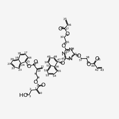 C=C(CCO)C(=O)OCCC(=C)C(=O)Oc1cccc2ccccc12.C=CC(=O)OCCOc1nc(OCCOC(=O)C=C)nc(Oc2cccc3ccccc23)n1